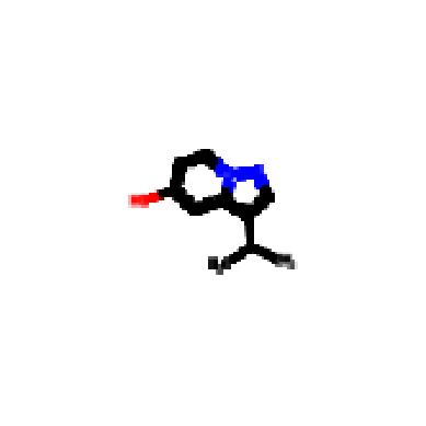 CC(C)c1cnn2ccc(O)cc12